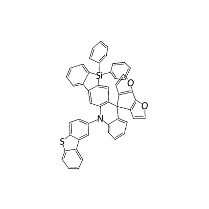 c1ccc([Si]2(c3ccccc3)c3ccccc3-c3cc4c(cc32)C2(c3ccccc3N4c3ccc4sc5ccccc5c4c3)c3ccoc3-c3occc32)cc1